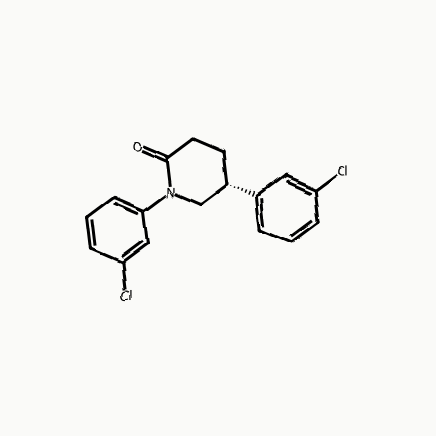 O=C1CC[C@H](c2cccc(Cl)c2)CN1c1cccc(Cl)c1